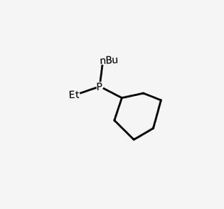 CCCCP(CC)C1CCCCC1